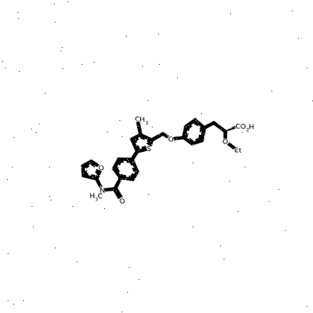 CCO[C@@H](Cc1ccc(OCc2sc(-c3ccc(C(=O)N(C)c4ccco4)cc3)cc2C)cc1)C(=O)O